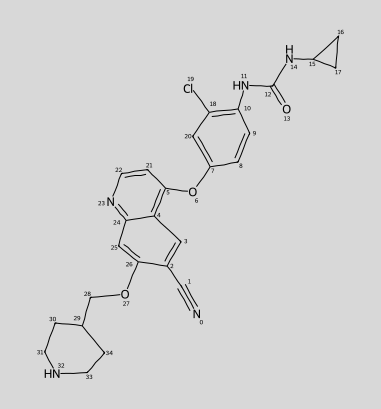 N#Cc1cc2c(Oc3ccc(NC(=O)NC4CC4)c(Cl)c3)ccnc2cc1OCC1CCNCC1